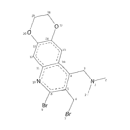 CN(C)Cc1c(CBr)c(Br)nc2cc3c(cc12)OCCO3